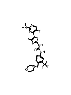 CNc1ncc(F)c(-c2sc(NC(=O)Nc3ccc(CN4CCOCC4)c(C(F)(F)F)c3)nc2C)n1